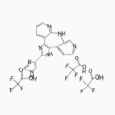 O=C(O)C(F)(F)F.O=C(O)C(F)(F)F.O=C(O)C(F)(F)F.c1cnc2c(c1)-c1nc(-c3c[nH]cn3)[nH]c1-c1ccncc1N2